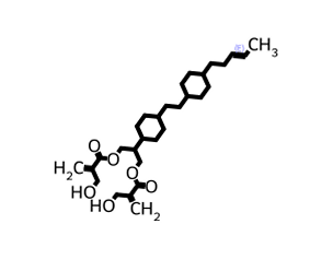 C=C(CO)C(=O)OCC(COC(=O)C(=C)CO)C1CCC(CCC2CCC(CC/C=C/C)CC2)CC1